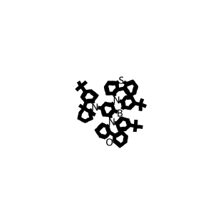 CC(C)(C)c1ccc2c(c1)B1c3cc(C(C)(C)C)ccc3N(c3cccc4sc5ccccc5c34)c3cc(N4c5ccc(C(C)(C)C)cc5C5(C)CCCCC45C)cc(c31)N2c1cccc2oc3ccccc3c12